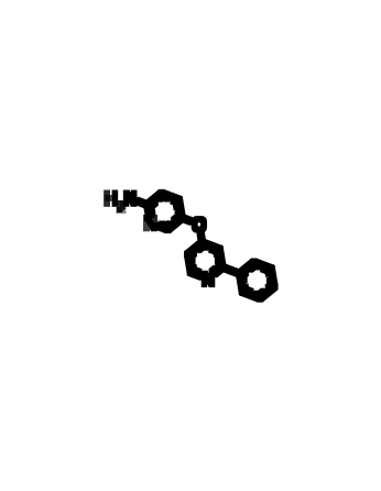 Nc1ccc(Oc2ccnc(-c3ccccc3)c2)cn1